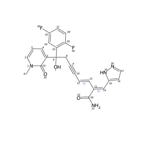 Cn1cccc(C(O)(CC#C/C=C/C(=C\c2ccn[nH]2)C(N)=O)c2cc(F)ccc2F)c1=O